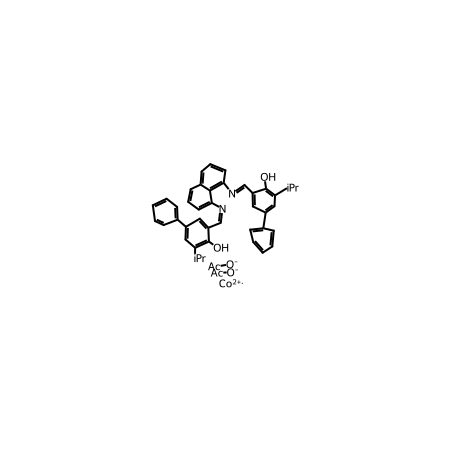 CC(=O)[O-].CC(=O)[O-].CC(C)c1cc(-c2ccccc2)cc(C=Nc2cccc3cccc(N=Cc4cc(-c5ccccc5)cc(C(C)C)c4O)c23)c1O.[Co+2]